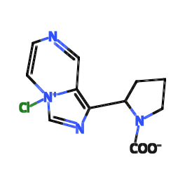 O=C([O-])N1CCCC1C1=C2C=NC=C[N+]2(Cl)C=N1